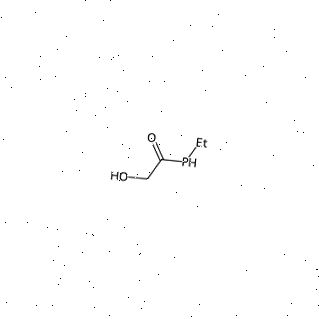 CCPC(=O)CO